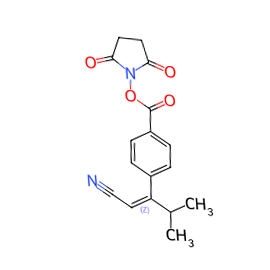 CC(C)/C(=C/C#N)c1ccc(C(=O)ON2C(=O)CCC2=O)cc1